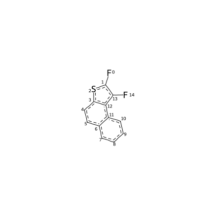 Fc1sc2ccc3ccccc3c2c1F